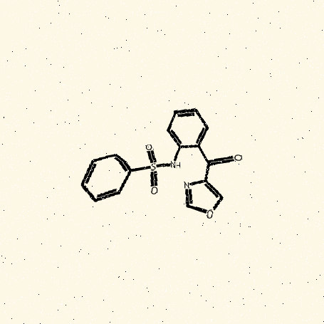 O=C(c1cocn1)c1ccccc1NS(=O)(=O)c1ccccc1